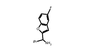 CC(C)C(N)c1cc2cc(F)ccc2o1